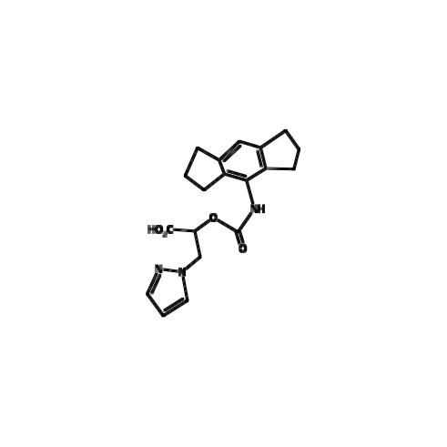 O=C(Nc1c2c(cc3c1CCC3)CCC2)OC(Cn1cccn1)C(=O)O